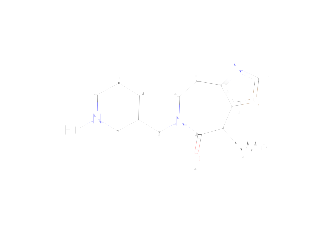 CCN1CCCC(CN2CCc3ncsc3C(NC)C2=O)C1